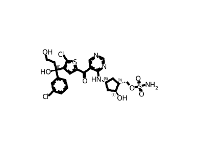 NS(=O)(=O)OC[C@H]1C[C@@H](Nc2ncncc2C(=O)c2cc([C@@](O)(CCO)c3cccc(Cl)c3)c(Cl)s2)C[C@@H]1O